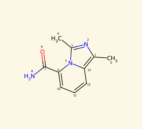 Cc1nc(C)n2c(C(N)=O)cccc12